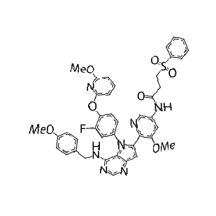 COc1ccc(CNc2ncnc3cc(-c4ncc(NC(=O)CCS(=O)(=O)c5ccccc5)cc4OC)n(-c4ccc(Oc5cccc(OC)n5)c(F)c4)c23)cc1